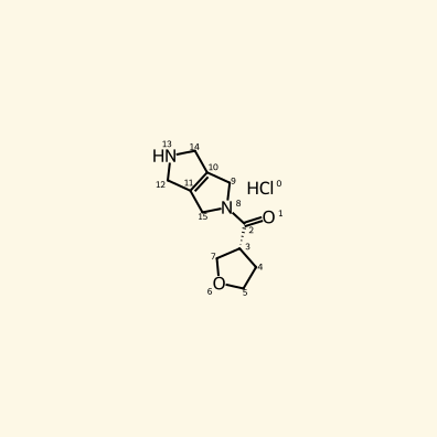 Cl.O=C([C@@H]1CCOC1)N1CC2=C(CNC2)C1